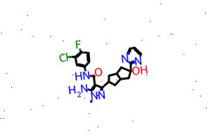 Cn1nc(C2CC3CC(O)(c4ncccn4)CC3C2)c(C(=O)Nc2ccc(F)c(Cl)c2)c1N